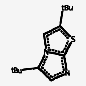 CC(C)(C)c1cn2c(C(C)(C)C)cnc2s1